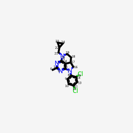 Cc1nc2c3c(n1)N(c1ccc(Cl)cc1Cl)CC3CCN2CC1CC1